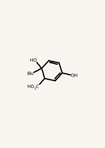 CCC(C)C1(O)C=CC(O)=CC1C(=O)O